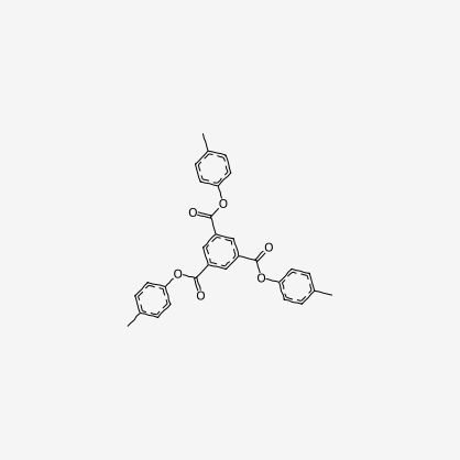 Cc1ccc(OC(=O)c2cc(C(=O)Oc3ccc(C)cc3)cc(C(=O)Oc3ccc(C)cc3)c2)cc1